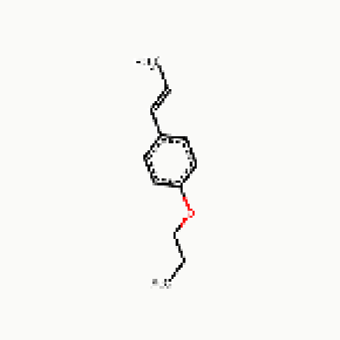 CC(=O)OCCOc1ccc(C=CC(=O)O)cc1